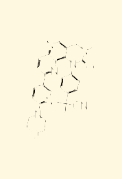 CN1Cc2cnc3ccc(-c4ccc(N5CCOCC5)nc4)nc3c2N(c2ccc(C(C)(C)C#N)cc2)C1=O